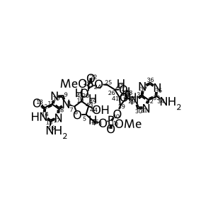 COP1(=O)OC[C@H]2O[C@@H](n3cnc4c(=O)[nH]c(N)nc43)[C@@H](OP(=O)(OC)OC[C@H]3O[C@@H](n4cnc5c(N)ncnc54)C(O1)[C@H]3O)[C@H]2O